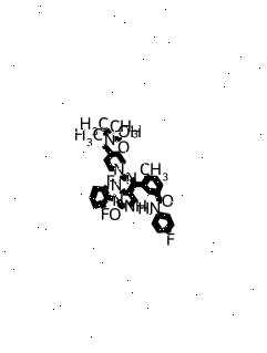 Cc1ccc(C(=O)Nc2ccc(F)cc2)cc1-c1nc(N2CCC(CN(C(=O)O)C(C)(C)C)CC2)nc2c1CNC(=O)N2c1c(F)cccc1F